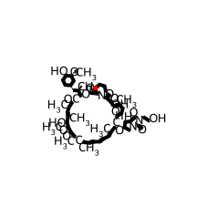 CO[C@@H]1C[C@H](C[C@@H](C)[C@@H]2CC(=O)[C@H](C)/C=C(\C)[C@@H](O)[C@@H](OC)C(=O)[C@H](C)C[C@H](C)/C=C/C=C/C=C(\C)[C@@H](O[C@@H]3C[C@H]4C(=O)N(CCO)C(=O)N4C3)C[C@@H]3CC[C@@H](C)[C@@](O)(O3)C(=O)C(=O)N3CCCC[C@H]3C(=O)O2)CC[C@H]1O